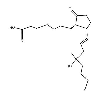 CCCCC(C)(O)C/C=C/[C@H]1CCC(=O)[C@@H]1CCCCCCC(=O)O